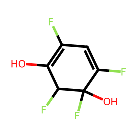 OC1=C(F)C=C(F)C(O)(F)C1F